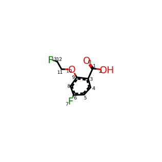 O=C(O)c1ccc(F)cc1OCCF